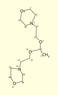 CC(OCCN1CCOCC1)OCCN1CCOCC1